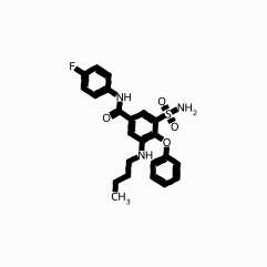 CCCCNc1cc(C(=O)Nc2ccc(F)cc2)cc(S(N)(=O)=O)c1Oc1ccccc1